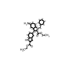 CCOC(=O)c1cc2cc(-c3c(C(=O)OCC)n(Cc4ccccc4)c4ccc(N)cc34)ccc2[nH]1